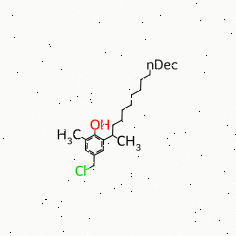 CCCCCCCCCCCCCCCCCCC(C)c1cc(CCl)cc(C)c1O